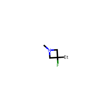 CCC1(F)CN(C)C1